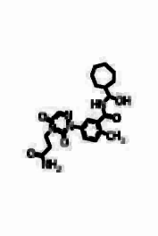 Cc1ccc(-n2ncc(=O)n(CCC(N)=O)c2=O)cc1C(=O)NC(O)C1CCCCCC1